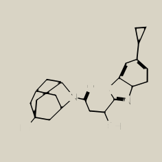 CC(CC(=O)N1C2CC3CC1CC(O)(C3)C2)C1=NC2CC=C(C3CC3)C=C2S1